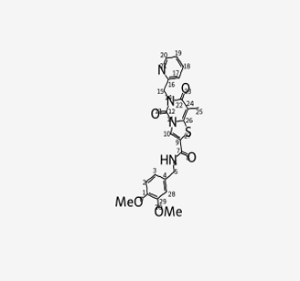 COc1ccc(CNC(=O)c2cn3c(=O)n(Cc4ccccn4)c(=O)c(C)c3s2)cc1OC